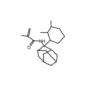 C=C(C)C(=O)NC1(C2CCCC(C)C2C)C2CC3CC(C2)CC1C3